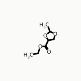 CCOC(=O)C1CO[C](C)O1